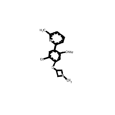 CCc1cc(-c2cccc(C)n2)c(OC)cc1OC1CN(C)C1